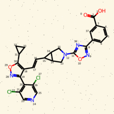 O=C(O)c1cccc(-c2noc(N3CC4C(/C=C/c5c(-c6c(Cl)cncc6Cl)noc5C5CC5)C4C3)n2)c1